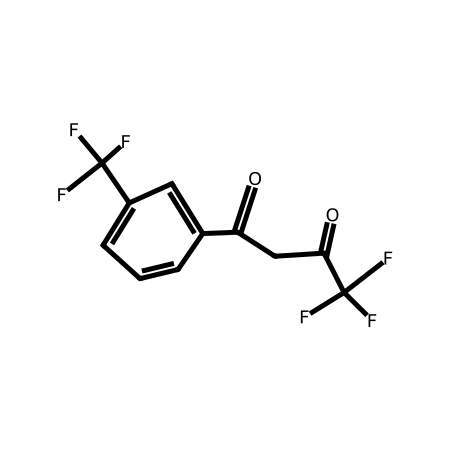 O=C(CC(=O)C(F)(F)F)c1cccc(C(F)(F)F)c1